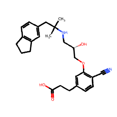 CC(C)(Cc1ccc2c(c1)CCC2)NC[C@H](O)COc1cc(CCC(=O)O)ccc1C#N